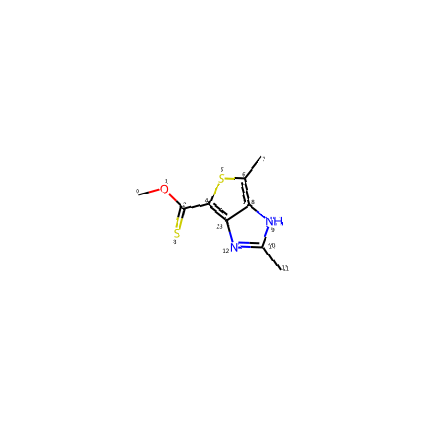 COC(=S)c1sc(C)c2[nH]c(C)nc12